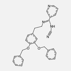 N#CN/C(=N\CCc1ccc(OCc2ccccc2)c(OCc2ccccc2)c1)c1cccnc1